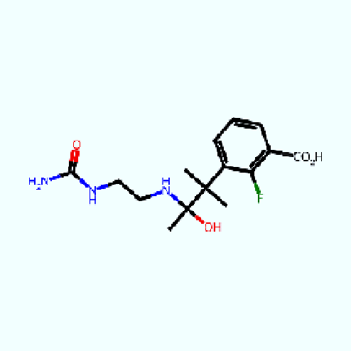 CC(O)(NCCNC(N)=O)C(C)(C)c1cccc(C(=O)O)c1F